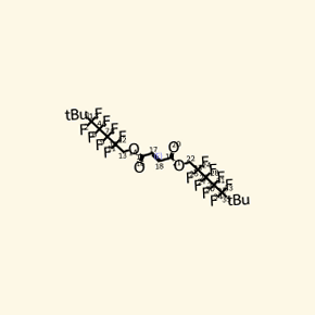 CC(C)(C)C(F)(F)C(F)(F)C(F)(F)C(F)(F)COC(=O)/C=C/C(=O)OCC(F)(F)C(F)(F)C(F)(F)C(F)(F)C(C)(C)C